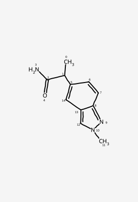 CC(C(N)=O)c1ccc2nn(C)cc2c1